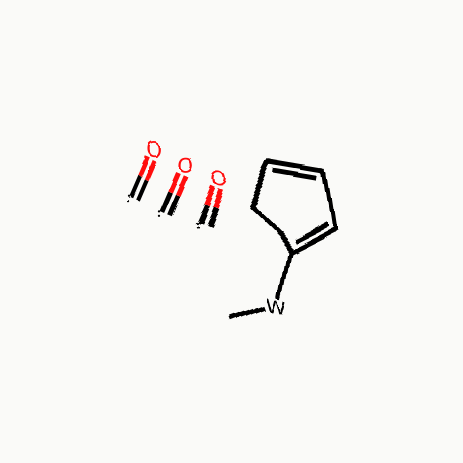 [CH3][W][C]1=CC=CC1.[C]=O.[C]=O.[C]=O